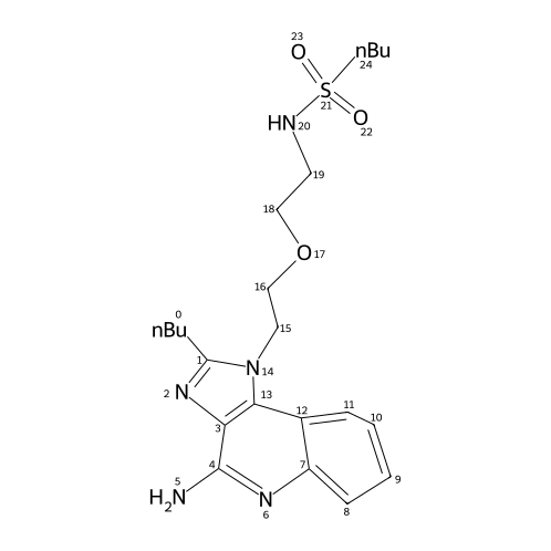 CCCCc1nc2c(N)nc3ccccc3c2n1CCOCCNS(=O)(=O)CCCC